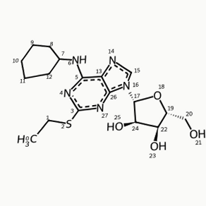 CCSc1nc(NC2CCCCC2)c2ncn([C@@H]3O[C@H](CO)[C@@H](O)[C@H]3O)c2n1